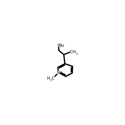 CC(CC(C)(C)C)c1ccc[n+](C)c1